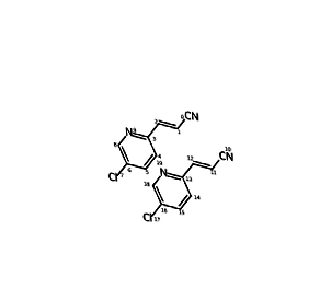 N#C/C=C/c1ccc(Cl)cn1.N#C/C=C/c1ccc(Cl)cn1